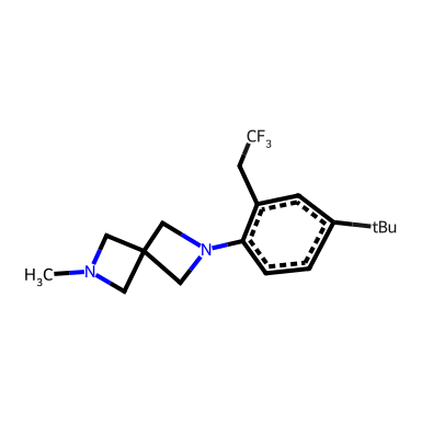 CN1CC2(C1)CN(c1ccc(C(C)(C)C)cc1CC(F)(F)F)C2